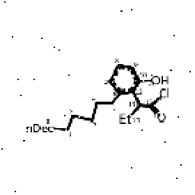 CCCCCCCCCCCCCCCc1cccc(O)c1C(CC)C(=O)Cl